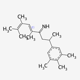 CC(C)=C(C)/C=C(\C)C(=N)CC(C)c1cc(C)c(C)c(C)c1